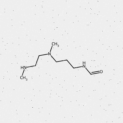 CNCCN(C)CCCNC=O